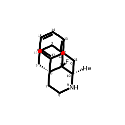 FC12CCCC[C@@]13CCN[C@@H]2Cc1ccccc13